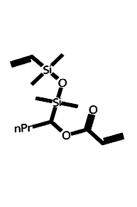 C=CC(=O)OC(CCC)[Si](C)(C)O[Si](C)(C)C=C